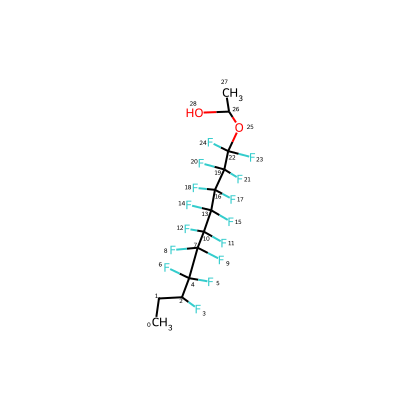 CCC(F)C(F)(F)C(F)(F)C(F)(F)C(F)(F)C(F)(F)C(F)(F)C(F)(F)OC(C)O